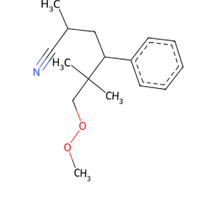 COOCC(C)(C)C(CC(C)C#N)c1ccccc1